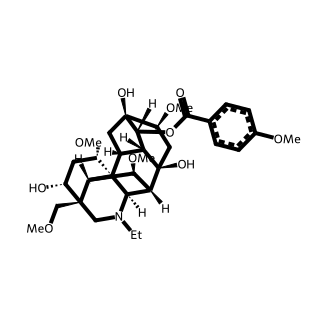 CCN1C[C@]2(COC)[C@H](O)C[C@H](OC)[C@@]34[C@@H]5C[C@]6(O)[C@@H](OC)C[C@@](O)([C@H]5[C@H]6OC(=O)c5ccc(OC)cc5)[C@@H]([C@H](OC)[C@H]23)[C@@H]14